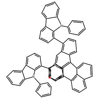 c1ccc(-c2cccc3cccc(-c4c5cccc(-c6cccc7c8ccccc8n(-c8ccccc8)c67)c5cc5c(-c6cccc7c8ccccc8n(-c8ccccc8)c67)cccc45)c23)cc1